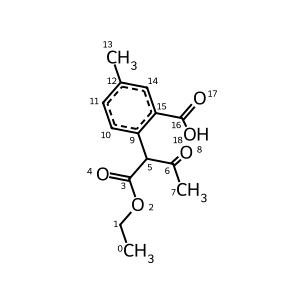 CCOC(=O)C(C(C)=O)c1ccc(C)cc1C(=O)O